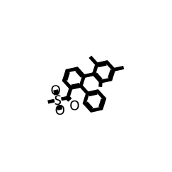 Cc1cc(C)c(-c2cccc(C(=O)S(C)(=O)=O)c2-c2ccccc2)c(C)c1